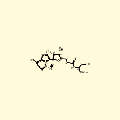 N#C[C@@]1(c2ccc3c(N)ncnn23)O[C@H](CCC(=O)OC(CF)CF)[C@@H](O)[C@H]1O